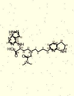 CN(C)C(=O)CN(CCCCc1ccc2c(n1)NCCC2)CC[C@H](Nc1ncnc2[nH]ncc12)C(=O)O